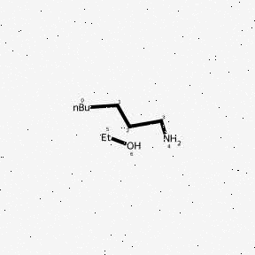 CCCCCCCN.CCO